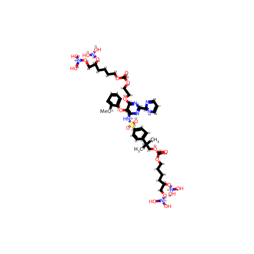 COc1ccccc1Oc1c(NS(=O)(=O)c2ccc(C(C)(C)COC(=O)OCCCCC(CON(O)O)ON(O)O)cc2)nc(-c2ncccn2)nc1OCCOC(=O)OCCCCC(CON(O)O)ON(O)O